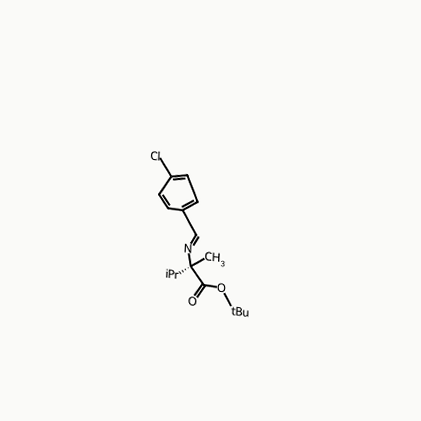 CC(C)[C@@](C)(N=Cc1ccc(Cl)cc1)C(=O)OC(C)(C)C